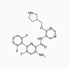 Nc1cc(F)c(-c2c(F)cccc2F)nc1C(=O)Nc1cncnc1OCC1CCNC1